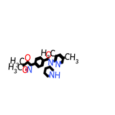 Cc1cnc(N(C(=O)c2ccc(C3=NOC(C)(C)C3=O)cc2)[C@@H]2CCCNC2)c(C)c1